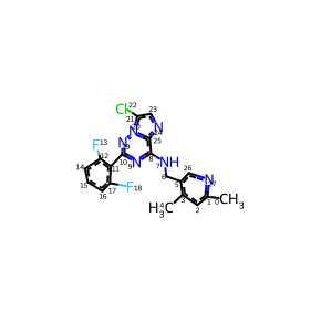 Cc1cc(C)c(CNc2nc(-c3c(F)cccc3F)nn3c(Cl)cnc23)cn1